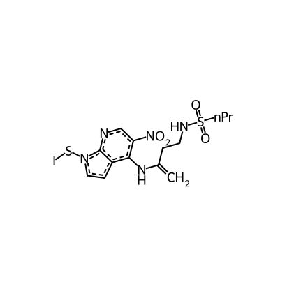 C=C(CCNS(=O)(=O)CCC)Nc1c([N+](=O)[O-])cnc2c1ccn2SI